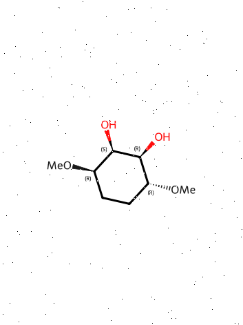 CO[C@@H]1CC[C@@H](OC)[C@@H](O)[C@H]1O